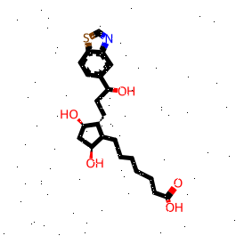 O=C(O)CCCCCCC1[C@@H](CCC(O)c2ccc3scnc3c2)[C@H](O)C[C@@H]1O